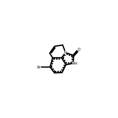 O=c1[nH]c2ccc(Br)c3c2n1CC=C3